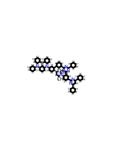 C=C(/C=C\C)N(C)c1ccc(-c2nc(-c3ccccc3)cc(-c3ccccc3)n2)cc1-c1nc(-c2ccccc2)nc(-c2cccc(-c3cccc(N4c5ccccc5B5c6ccccc6N(c6ccccc6)c6cccc4c65)c3)c2)n1